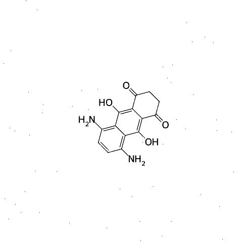 Nc1ccc(N)c2c(O)c3c(c(O)c12)C(=O)CCC3=O